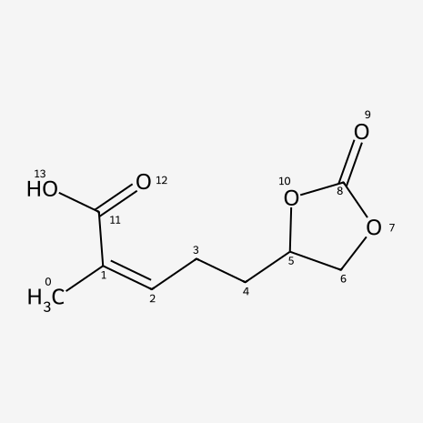 CC(=CCCC1COC(=O)O1)C(=O)O